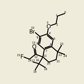 CCCOc1cc2c(cc1Br)C(C(=O)CF)(C(C)(C)C)CCC2(C)C